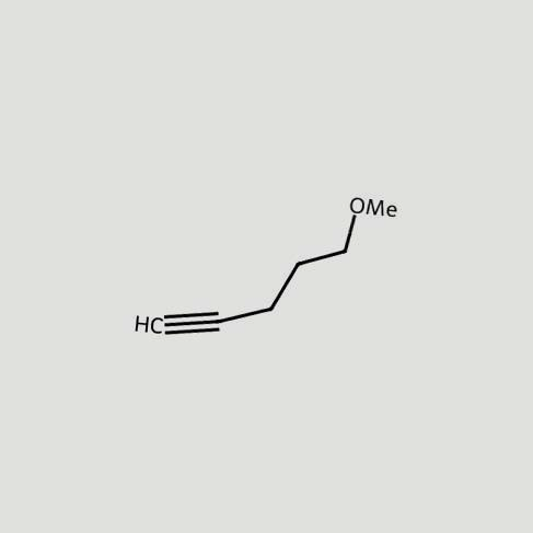 C#CCCCOC